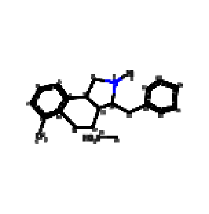 CCN1CC2c3cccc(C(F)(F)F)c3CCC2C1Cc1ccccc1.CS(=O)(=O)O